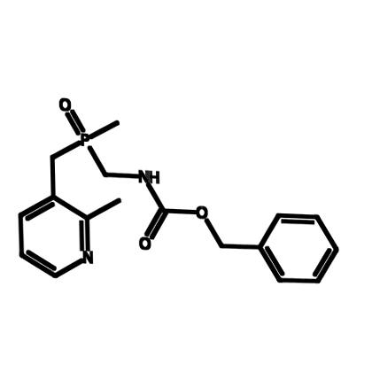 Cc1ncccc1CP(C)(=O)CNC(=O)OCc1ccccc1